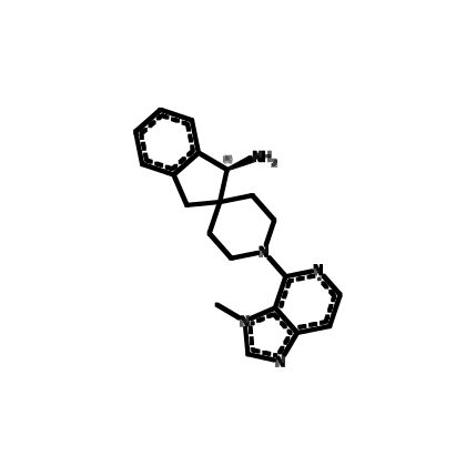 Cn1cnc2ccnc(N3CCC4(CC3)Cc3ccccc3[C@H]4N)c21